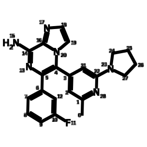 Cc1cc(-c2c(-c3cccc(F)c3)nc(N)c3nccn23)cc(N2CCCC2)n1